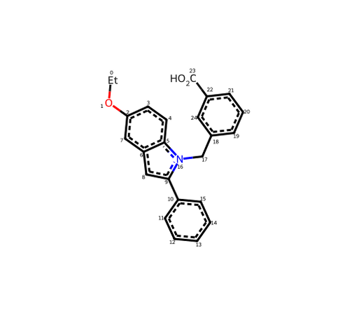 CCOc1ccc2c(c1)cc(-c1ccccc1)n2Cc1cccc(C(=O)O)c1